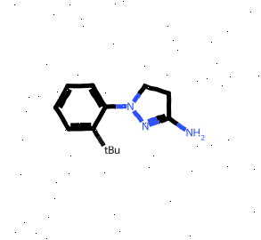 CC(C)(C)c1ccccc1N1CCC(N)=N1